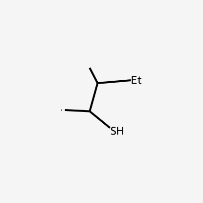 [CH2]C(S)C(C)CC